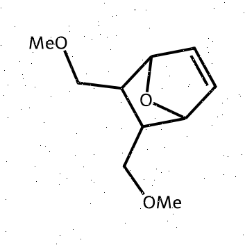 COCC1C2C=CC(O2)C1COC